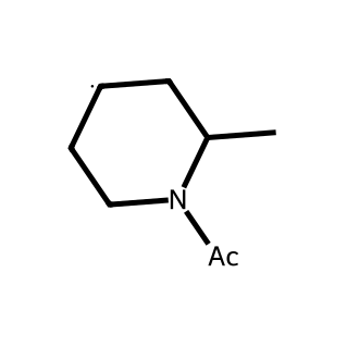 CC(=O)N1CC[CH]CC1C